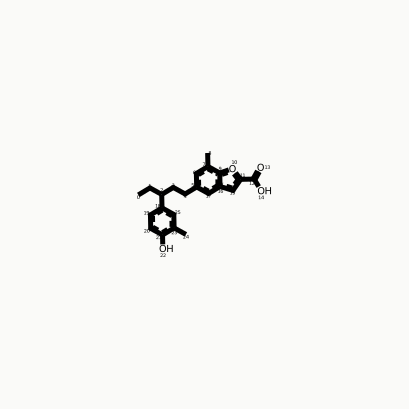 CCC(CCc1cc(C)c2oc(C(=O)O)cc2c1)c1ccc(O)c(C)c1